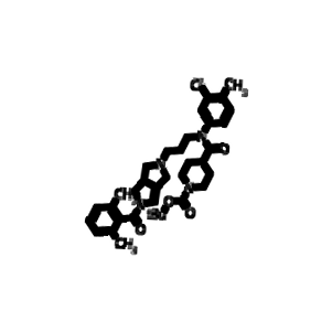 Cc1ccc(N(CCCN2CC3=CN(C(=O)c4c(C)cccc4C)CC3C2)C(=O)C2CCN(C(=O)OC(C)(C)C)CC2)cc1Cl